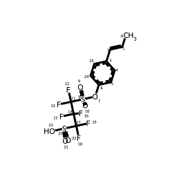 CC=Cc1ccc(OS(=O)(=O)C(F)(F)C(F)(F)C(F)(F)S(=O)(=O)O)cc1